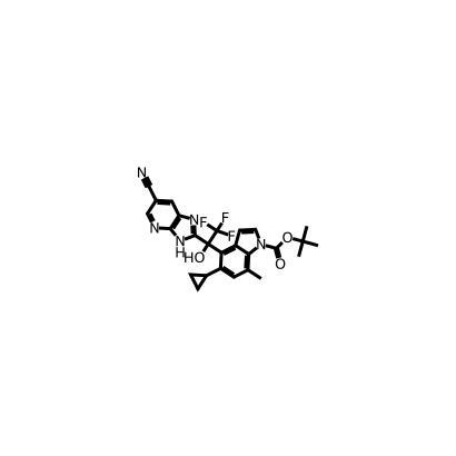 Cc1cc(C2CC2)c(C(O)(c2nc3cc(C#N)cnc3[nH]2)C(F)(F)F)c2ccn(C(=O)OC(C)(C)C)c12